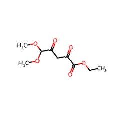 CCOC(=O)C(=O)CC(=O)C(OC)OC